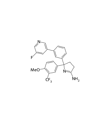 COc1ccc(C2(c3cccc(-c4cncc(F)c4)c3)CCC(N)=N2)cc1C(F)(F)F